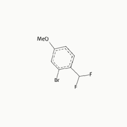 COc1ccc(C(F)F)c(Br)c1